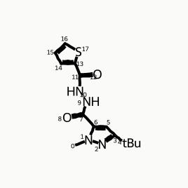 Cn1nc(C(C)(C)C)cc1C(=O)NNC(=O)c1cccs1